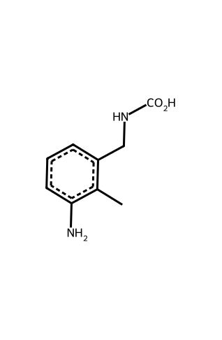 Cc1c(N)cccc1CNC(=O)O